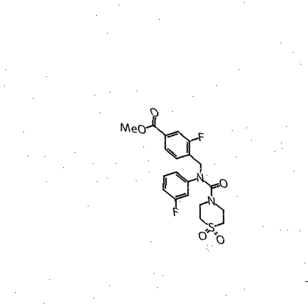 COC(=O)c1ccc(CN(C(=O)N2CCS(=O)(=O)CC2)c2cccc(F)c2)c(F)c1